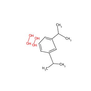 CC(C)c1cccc(C(C)C)c1.OO.OO